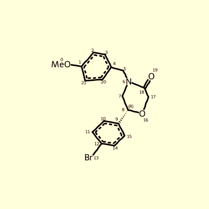 COc1ccc(CN2C[C@@H](c3ccc(Br)cc3)OCC2=O)cc1